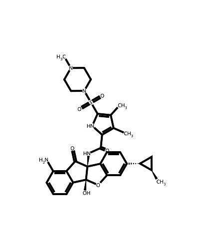 Cc1c(C(=O)N[C@]23C(=O)c4c(N)cccc4[C@@]2(O)Oc2cc([C@@H]4C[C@H]4C)ccc23)[nH]c(S(=O)(=O)N2CCN(C)CC2)c1C